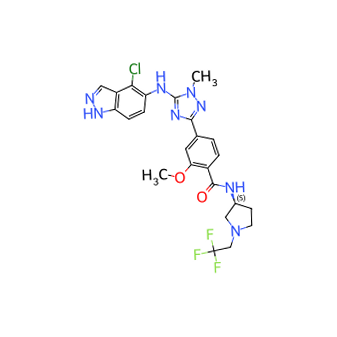 COc1cc(-c2nc(Nc3ccc4[nH]ncc4c3Cl)n(C)n2)ccc1C(=O)N[C@H]1CCN(CC(F)(F)F)C1